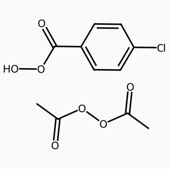 CC(=O)OOC(C)=O.O=C(OO)c1ccc(Cl)cc1